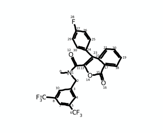 CN(Cc1cc(C(F)(F)F)cc(C(F)(F)F)c1)C(=O)c1oc(=O)c2ccccc2c1-c1ccc(F)cc1